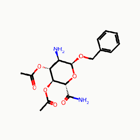 CC(=O)O[C@@H]1[C@@H](N)[C@@H](OCc2ccccc2)O[C@H](C(N)=O)[C@H]1OC(C)=O